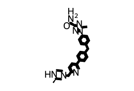 Cc1nc(C(N)=O)nn1-c1ccc(Cc2ccc(-c3ccc(CN4CCN[C@H](C)C4)nc3)cc2)cc1